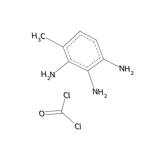 Cc1ccc(N)c(N)c1N.O=C(Cl)Cl